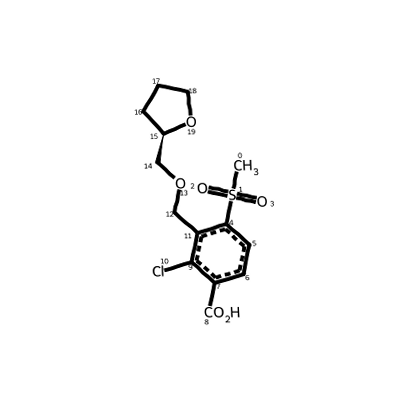 CS(=O)(=O)c1ccc(C(=O)O)c(Cl)c1COC[C@H]1CCCO1